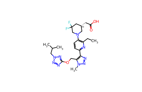 CCc1nc(-c2nnn(C)c2COc2nnn(CC(C)C)n2)ccc1N1C[C@@H](CC(=O)O)CC(F)(F)C1